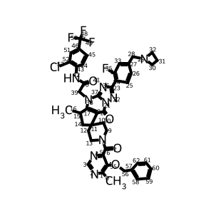 Cc1ncnc(C(=O)N2CCC3(CC2)CC(C)c2c3c(=O)n3nc(-c4ccc(CN5CCC5)cc4F)nc3n2CC(=O)Nc2ccc(C(F)(F)F)cc2Cl)c1OCc1ccccc1